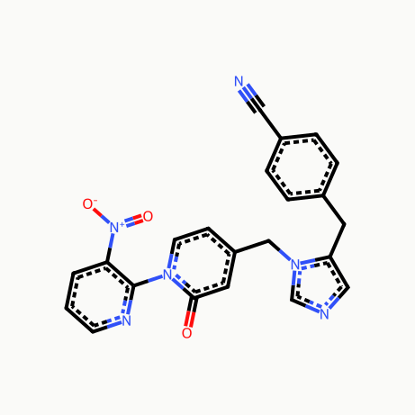 N#Cc1ccc(Cc2cncn2Cc2ccn(-c3ncccc3[N+](=O)[O-])c(=O)c2)cc1